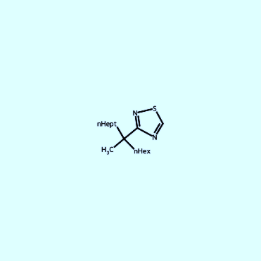 CCCCCCCC(C)(CCCCCC)c1ncsn1